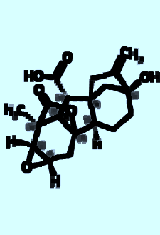 C=C1C[C@]23C[C@@]1(O)CC[C@H]2[C@@]12C[C@@H]4O[C@@H]4[C@@](C)(C(=O)O1)[C@H]2[C@@H]3C(=O)O